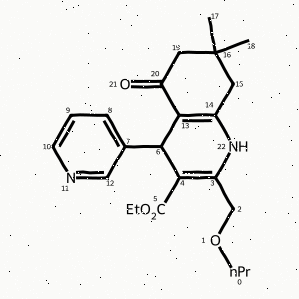 CCCOCC1=C(C(=O)OCC)C(c2cccnc2)C2=C(CC(C)(C)CC2=O)N1